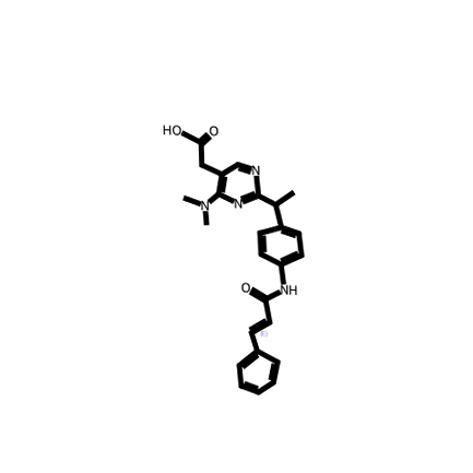 CC(c1ccc(NC(=O)/C=C/c2ccccc2)cc1)c1ncc(CC(=O)O)c(N(C)C)n1